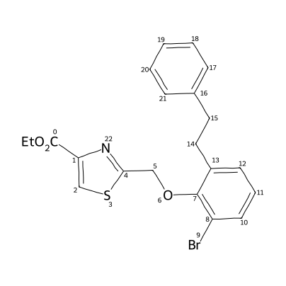 CCOC(=O)c1csc(COc2c(Br)cccc2CCc2ccccc2)n1